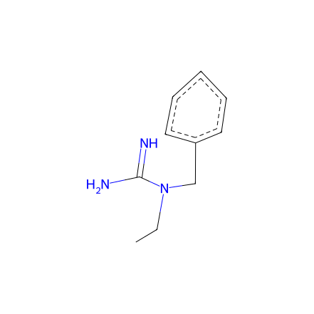 CCN(Cc1ccccc1)C(=N)N